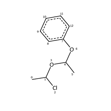 CC(Cl)OC(C)Oc1ccccc1